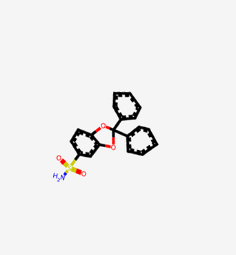 NS(=O)(=O)c1ccc2c(c1)OC(c1ccccc1)(c1ccccc1)O2